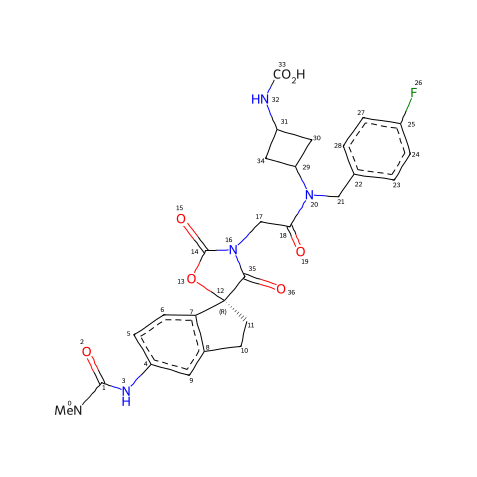 CNC(=O)Nc1ccc2c(c1)CC[C@@]21OC(=O)N(CC(=O)N(Cc2ccc(F)cc2)C2CC(NC(=O)O)C2)C1=O